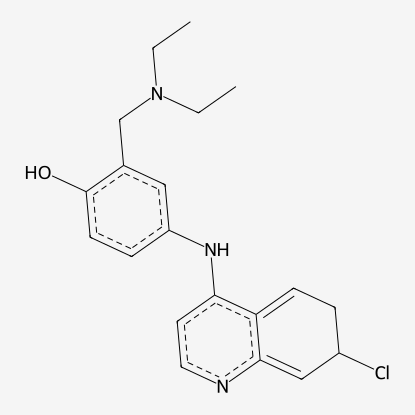 CCN(CC)Cc1cc(Nc2ccnc3c2=CCC(Cl)C=3)ccc1O